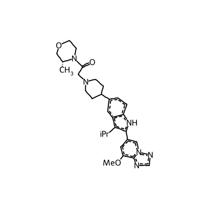 COc1cc(-c2[nH]c3ccc(C4CCN(CC(=O)N5CCOC[C@H]5C)CC4)cc3c2C(C)C)cn2ncnc12